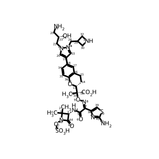 CC1(C)[C@H](NC(=O)/C(=N\O[C@](C)(C(=O)O)[C@H]2CCc3cc(-c4cn(C[C@@H](O)CN)[n+](CC5CNC5)c4)ccc3O2)c2csc(N)n2)C(=O)N1OS(=O)(=O)O